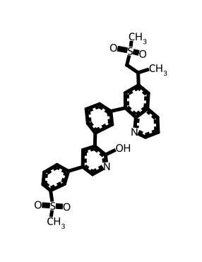 CC(CS(C)(=O)=O)c1cc(-c2cccc(-c3cc(-c4cccc(S(C)(=O)=O)c4)cnc3O)c2)c2ncccc2c1